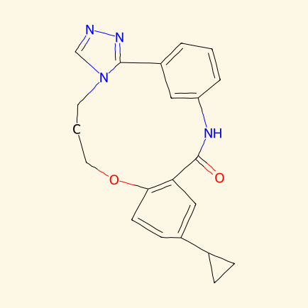 O=C1Nc2cccc(c2)-c2nncn2CCCOc2ccc(C3CC3)cc21